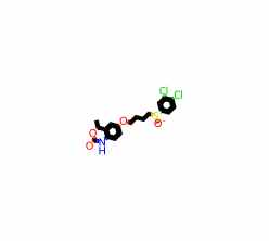 CC1OC(=O)Nc2ccc(OCCCC[S+]([O-])c3ccc(Cl)c(Cl)c3)cc21